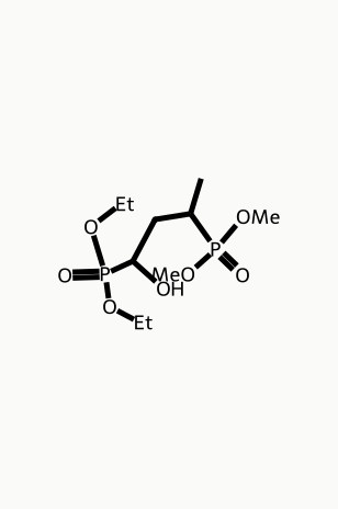 CCOP(=O)(OCC)C(O)CC(C)P(=O)(OC)OC